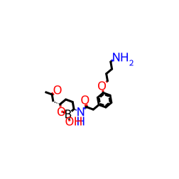 CC(=O)C[C@@H]1CC[C@H](NC(=O)Cc2cccc(OCCCCN)c2)B(O)O1